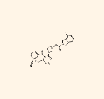 CC(C)[C@H](Nc1cccc(C#N)c1)C(=O)N1CC[C@@H](OC(=O)N2Cc3cccc(F)c3C2)C1